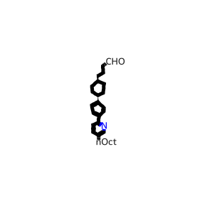 CCCCCCCCc1ccc(-c2ccc([C@H]3CC[C@H](CCCC=O)CC3)cc2)nc1